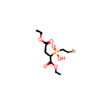 CCOC(=O)CC(C(=O)OCC)P(=O)(O)CCBr